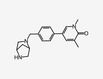 Cc1cc(-c2ccc(CN3CC4CC3CN4)cc2)cn(C)c1=O